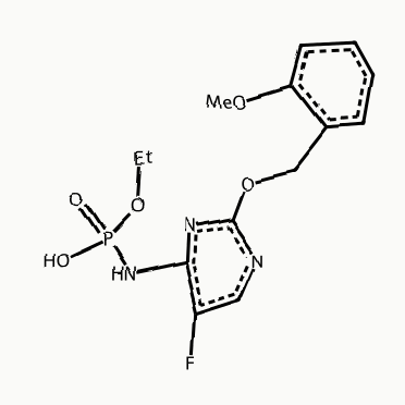 CCOP(=O)(O)Nc1nc(OCc2ccccc2OC)ncc1F